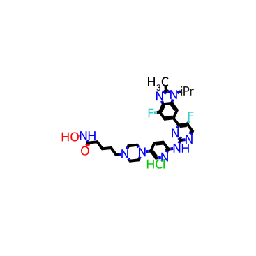 Cc1nc2c(F)cc(-c3nc(Nc4ccc(N5CCN(CCCCC(=O)NO)CC5)cn4)ncc3F)cc2n1C(C)C.Cl